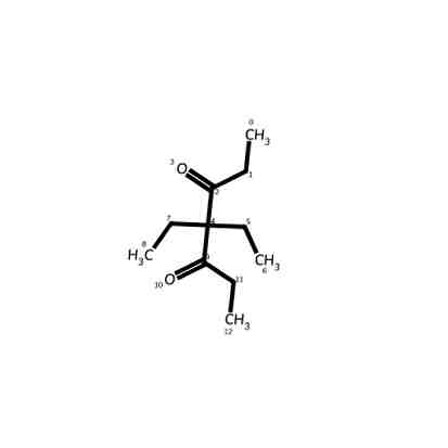 CCC(=O)C(CC)(CC)C(=O)CC